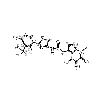 CN1C(=O)C(=N)C(=O)c2c(CC(=O)Nc3nc(-c4ccc(F)c(C(F)(F)F)c4F)cs3)csc21